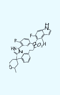 Cc1c(Oc2ccc(F)c(-c3nc(C4(c5cccc(CCC(=O)O)c5)CCOC(C)C4)c[nH]3)c2)c(F)cc2[nH]ccc12